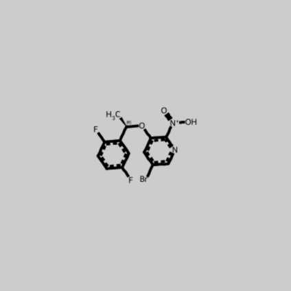 C[C@@H](Oc1cc(Br)cnc1[N+](=O)O)c1cc(F)ccc1F